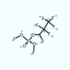 O=P(OF)(OF)OC(F)C(F)(F)C(F)(F)F